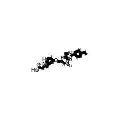 CCc1ccc(-c2ncc(F)c(N(C)CCCOc3ccc4[nH]c(CC(=O)O)cc4c3)n2)cc1